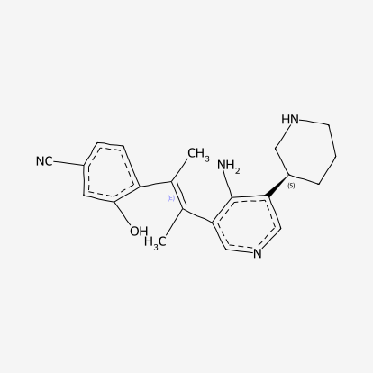 C/C(=C(/C)c1cncc([C@@H]2CCCNC2)c1N)c1ccc(C#N)cc1O